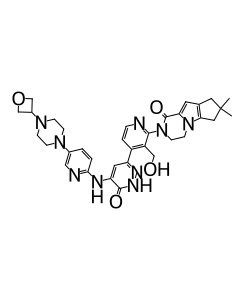 CC1(C)Cc2cc3n(c2C1)CCN(c1nccc(-c2cc(Nc4ccc(N5CCN(C6COC6)CC5)cn4)c(=O)[nH]n2)c1CO)C3=O